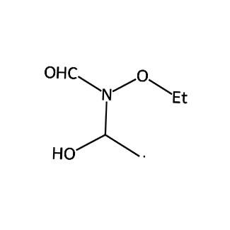 [CH2]C(O)N(C=O)OCC